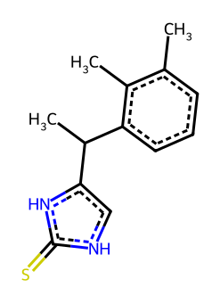 Cc1cccc(C(C)c2c[nH]c(=S)[nH]2)c1C